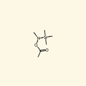 CC(=O)ON(C)[Si](C)(C)C